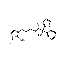 Cc1n(CCCOC(=O)C(O)(c2ccccc2)c2cccs2)cc[n+]1C